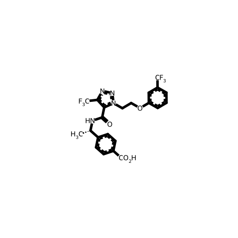 C[C@H](NC(=O)c1c(C(F)(F)F)nnn1CCOc1cccc(C(F)(F)F)c1)c1ccc(C(=O)O)cc1